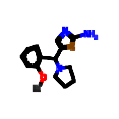 CCOc1ccccc1C(c1cnc(N)s1)N1CCCC1